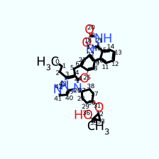 CCCc1c(Cc2ccc(-c3ccccc3-c3noc(=O)[nH]3)cc2)c(=O)n(C2CCC(OC3CC3(C)O)CC2)c2ccnn12